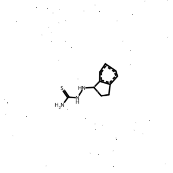 NC(=S)NNC1CCc2ccccc21